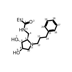 CCC(=O)NC[C@@H]1[C@@H](O)[C@H](O)CN1CCCc1ccccc1